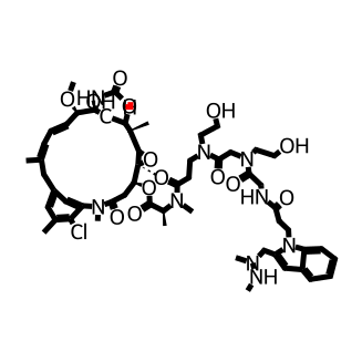 CNN(C)Cc1cc2ccccc2n1CCC(=O)NCC(=O)N(CCO)CC(=O)N(CCO)CCC(=O)N(C)[C@@H](C)C(=O)O[C@H]1CC(=O)N(C)c2cc(cc(C)c2Cl)C/C(C)=C/C=C/[C@@H](OC)[C@@]2(O)C[C@H](OC(=O)N2)[C@@H](C)C2O[C@]21C